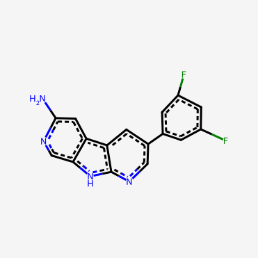 Nc1cc2c(cn1)[nH]c1ncc(-c3cc(F)cc(F)c3)cc12